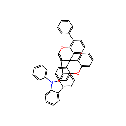 c1ccc(-c2cccc3c2Oc2cccc(-c4cccc5c6ccccc6n(-c6ccccc6)c45)c2C32c3ccccc3Oc3ccccc32)cc1